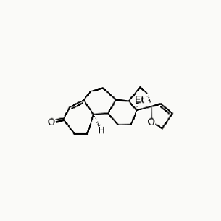 CC[C@]12CCC3C(CCC4=CC(=O)CC[C@@H]43)C1CC[C@@]21C=CCO1